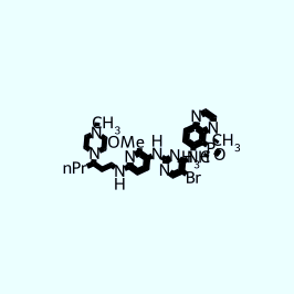 CCCC(CCNc1ccc(Nc2ncc(Br)c(Nc3ccc4nccnc4c3P(C)(C)=O)n2)c(OC)n1)N1CCN(C)CC1